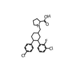 O=C(O)C1CCCN1CC1CCC(c2ccc(Cl)cc2)C(c2cccc(Cl)c2F)C1